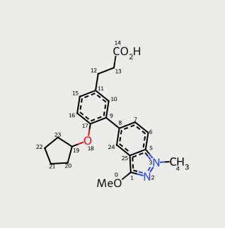 COc1nn(C)c2ccc(-c3cc(CCC(=O)O)ccc3OC3CCCC3)cc12